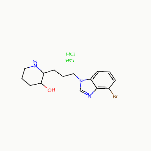 Cl.Cl.OC1CCCNC1CCCn1cnc2c(Br)cccc21